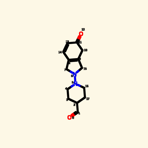 O=CC1CCN(N2CC3=C(CC(=O)C=C3)C2)CC1